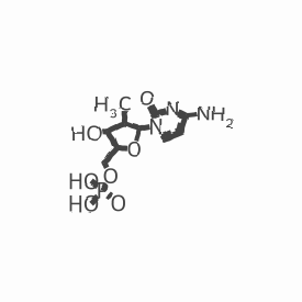 CC1C(O)C(COP(=O)(O)O)OC1n1ccc(N)nc1=O